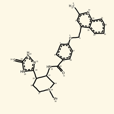 Cc1cc(COc2ccc(C(=O)NC3CN(C(C)C)CCC3c3n[nH]c(=S)[nH]3)cc2)c2ccccc2n1